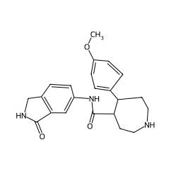 COc1ccc(C2CCNCCC2C(=O)Nc2ccc3c(c2)C(=O)NC3)cc1